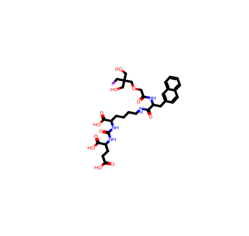 O=C(O)CCC(NC(=O)NC(CCCCNC(=O)C(Cc1ccc2ccccc2c1)NC(=O)COCC(CO)(CO)CI)C(=O)O)C(=O)O